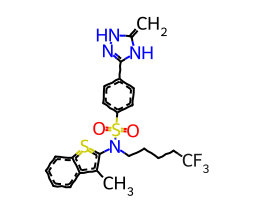 C=C1NN=C(c2ccc(S(=O)(=O)N(CCCCC(F)(F)F)c3sc4ccccc4c3C)cc2)N1